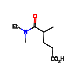 CCN(C)C(=O)C(C)CCC(=O)O